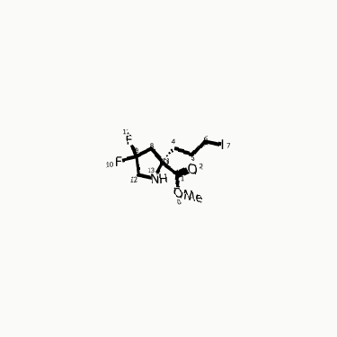 COC(=O)[C@]1(CCCI)CC(F)(F)CN1